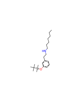 CCCCCCCNCCc1cccc(O[Si](C)(C)C(C)(C)C)c1